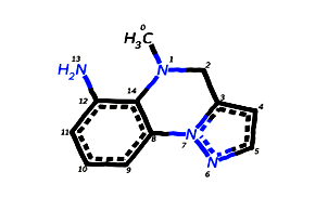 CN1Cc2ccnn2-c2cccc(N)c21